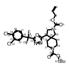 C=CCOC(=O)N1CC(c2nnc(C(F)(F)c3ccc(Cl)c(Cl)c3)o2)C2(CCN(C(=O)OC(C)(C)C)CC2)C1